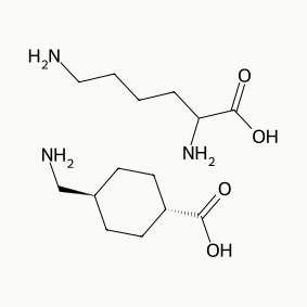 NCCCCC(N)C(=O)O.NC[C@H]1CC[C@H](C(=O)O)CC1